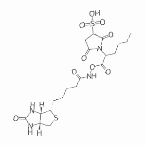 CCCCC(C(=O)ONC(=O)CCCC[C@@H]1SC[C@@H]2NC(=O)N[C@@H]21)N1C(=O)CC(S(=O)(=O)O)C1=O